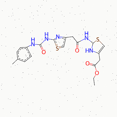 CCOC(=O)CC1=CSC(NC(=O)Cc2csc(NC(=O)Nc3ccc(C)cc3)n2)N1